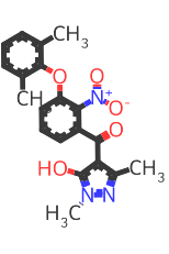 Cc1cccc(C)c1Oc1cccc(C(=O)c2c(C)nn(C)c2O)c1[N+](=O)[O-]